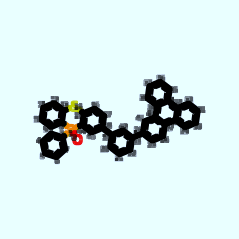 O=P1(c2ccccc2)c2ccccc2Sc2ccc(-c3cccc(-c4ccc5c6ccccc6c6ccccc6c5c4)c3)cc21